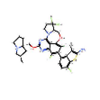 C[C@H]1CN2CCC[C@@]2(COc2nc3c4c(c(Cl)c(-c5ccc(F)c6sc(N)c(C#N)c56)c(F)c4n2)OCC2N3CCC2(F)F)C1